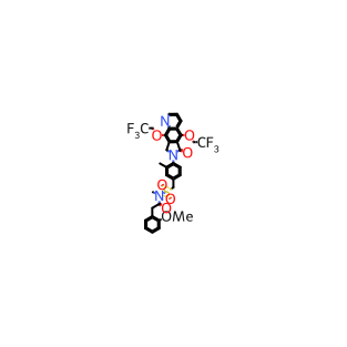 COc1ccccc1CC(=O)N(C)S(=O)(=O)Cc1ccc(N2Cc3c(c(OCC(F)(F)F)c4cccnc4c3OCC(F)(F)F)C2=O)c(C)c1